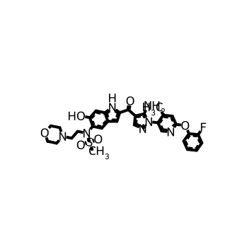 Cc1cc(Oc2ccccc2F)ncc1-n1ncc(C(=O)c2cc3cc(N(CCN4CCOCC4)S(C)(=O)=O)c(O)cc3[nH]2)c1N